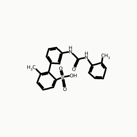 Cc1ccccc1NC(=O)Nc1cccc(-c2c(C)cccc2S(=O)(=O)O)c1